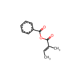 CC=C(C)C(=O)OC(=O)c1ccccc1